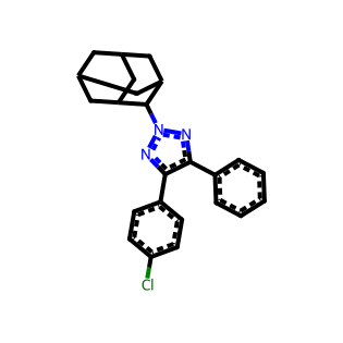 Clc1ccc(-c2nn(C3C4CC5CC(C4)CC3C5)nc2-c2ccccc2)cc1